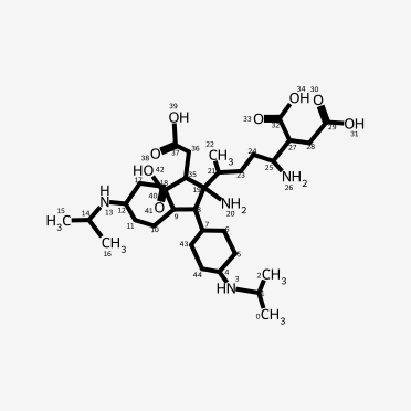 CC(C)NC1CCC(C(C2CCC(NC(C)C)CC2)C(N)(C(C)CCC(N)C(CC(=O)O)C(=O)O)C(CC(=O)O)C(=O)O)CC1